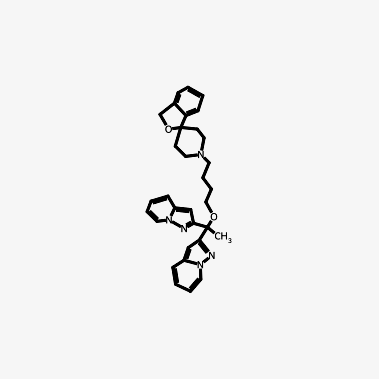 CC(OCCCCN1CCC2(CC1)OCc1ccccc12)(c1cc2ccccn2n1)c1cc2ccccn2n1